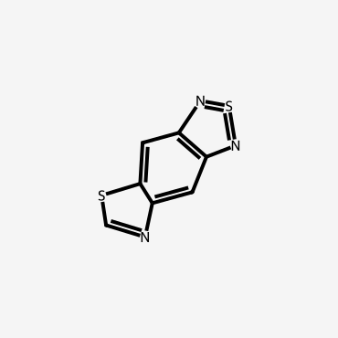 c1nc2cc3c(cc2s1)N=S=N3